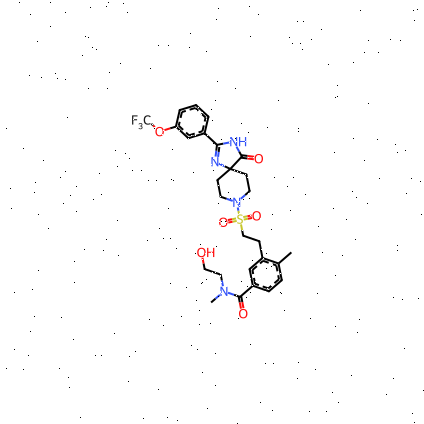 Cc1ccc(C(=O)N(C)CCO)cc1CCS(=O)(=O)N1CCC2(CC1)N=C(c1cccc(OC(F)(F)F)c1)NC2=O